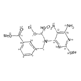 CCOC(O)N(Cc1cccc(C(=O)OC)c1)c1nc(SC)nc(N)c1[N+](=O)[O-]